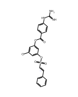 N=C(N)Nc1ccc(C(=O)Oc2cc(Cl)cc(OS(=O)(=O)/C=C/c3ccccc3)c2)cc1